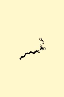 CCCCCCCCOC(=O)OSCl